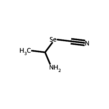 CC(N)[Se]C#N